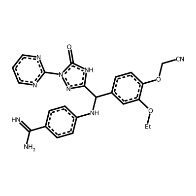 CCOc1cc(C(Nc2ccc(C(=N)N)cc2)c2nn(-c3ncccn3)c(=O)[nH]2)ccc1OCC#N